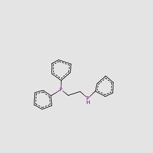 c1ccc(PCCP(c2ccccc2)c2ccccc2)cc1